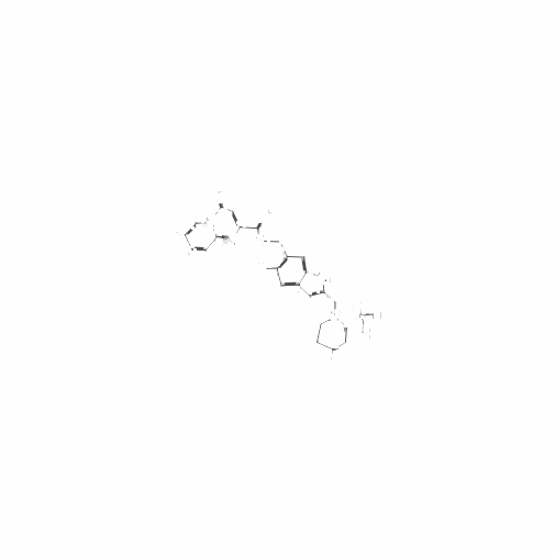 [2H]C([2H])([2H])[C@H]1C[C@@H](C)CCN1Cc1cc2cc(F)c(CNC(=O)c3cc(=O)n4ccccc4n3)cc2[nH]1